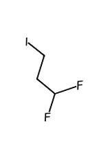 FC(F)CCI